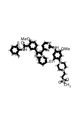 CCc1cc(Nc2nccc(-c3c(-c4ccc(OC)c(C(=O)Nc5c(F)cccc5F)c4)nc4ccccn34)n2)c(OC)cc1N1CCN(CCS(C)(=O)=O)CC1